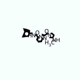 CNC1CCN(C(=O)c2cn3c(C(=O)NCC45CC6CC6C6(CC6C4)C5)cccc3n2)C1